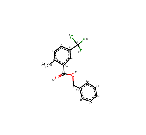 Cc1ccc(C(F)(F)F)cc1C(=O)OCc1ccccc1